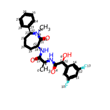 C[C@H](NC(=O)[C@@H](O)c1cc(F)cc(F)c1)C(=O)N[C@H]1CCC[C@@H](c2ccccc2)N(C)C1=O